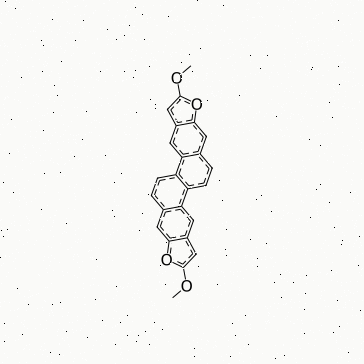 COc1cc2cc3c(ccc4c5cc6cc(OC)oc6cc5ccc34)cc2o1